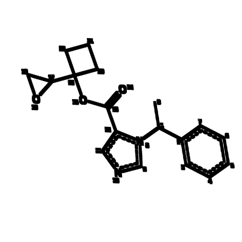 CC(c1ccccc1)n1cncc1C(=O)OC1(C2CO2)CCC1